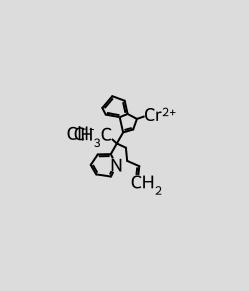 C=CCCC(C)(C1=C[CH]([Cr+2])c2ccccc21)c1ccccn1.[Cl-].[Cl-]